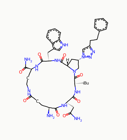 CCC(C)[C@@H]1NC(=O)[C@H](CC(N)=O)NC(=O)[C@@H](N)CCC(=O)NCC[C@@H](C(N)=O)NC(=O)[C@H](Cc2c[nH]c3ccccc23)NC(=O)[C@@H]2C[C@H](n3cc(CCc4ccccc4)nn3)CN2C1=O